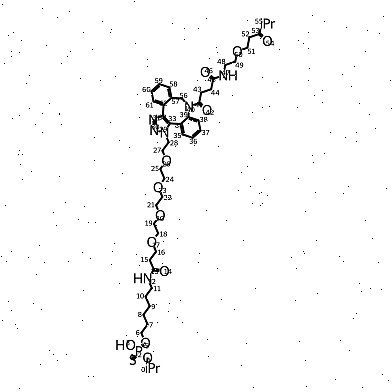 CC(C)OP(O)(=S)OCCCCCCNC(=O)CCOCCOCCOCCOCCn1nnc2c1-c1ccccc1N(C(=O)CCC(=O)NCCOCCC(=O)C(C)C)Cc1ccccc1-2